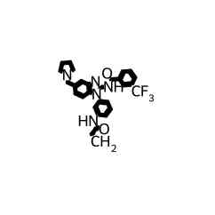 C=CC(=O)Nc1cccc(-n2c(NC(=O)c3cccc(C(F)(F)F)c3)nc3cc(CN4CCCC4)ccc32)c1